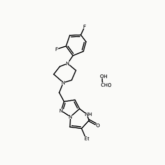 CCc1cn2nc(CN3CCN(c4ccc(F)cc4F)CC3)cc2[nH]c1=O.O=CO